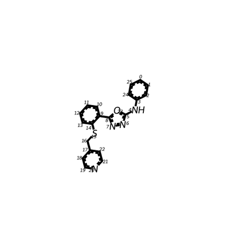 c1ccc(Nc2nnc(-c3ccccc3SCc3ccncc3)o2)cc1